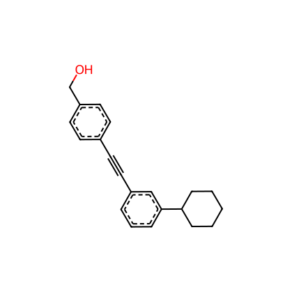 OCc1ccc(C#Cc2cccc(C3CCCCC3)c2)cc1